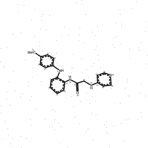 COc1ccc(Nc2ccccc2NC(=O)CNc2ccncc2)cc1